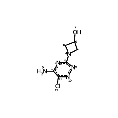 Nc1nc(N2CC(O)C2)nnc1Cl